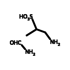 CC(CN)S(=O)(=O)O.NC=O